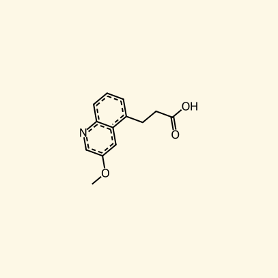 COc1cnc2cccc(CCC(=O)O)c2c1